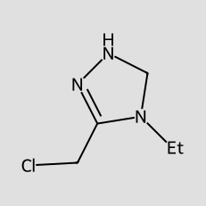 CCN1CNN=C1CCl